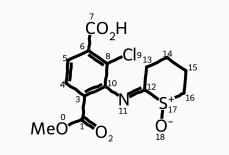 COC(=O)c1ccc(C(=O)O)c(Cl)c1N=C1CCCC[S+]1[O-]